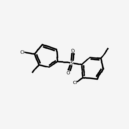 Cc1ccc(Cl)c(S(=O)(=O)c2ccc(Cl)c(C)c2)c1